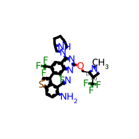 CN1C[C@@H](C(F)(F)F)[C@H]1COc1nc(N2CC3CCC(C2)N3)c2cc(C(F)(F)F)c(-c3csc4ccc(N)c(C#N)c34)c(F)c2n1